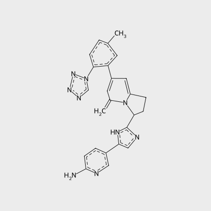 C=C1C=C(c2cc(C)ccc2-n2cnnn2)C=C2CCC(c3ncc(-c4ccc(N)nc4)[nH]3)N12